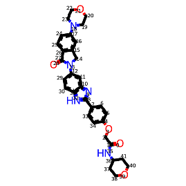 O=C(COc1ccc(-c2nc3cc(N4Cc5cc(N6CCOCC6)ccc5C4=O)ccc3[nH]2)cc1)NC1CCOCC1